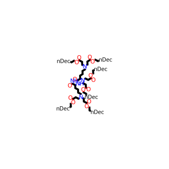 CCCCCCCCCCCCOC(=O)CCN(CCCCC(NC(=O)C(CCCCN(CCC(=O)OCCCCCCCCCCCC)CCC(=O)OCCCCCCCCCCCC)N(CCC(=O)OCCCCCCCCCCCC)CCC(=O)OCCCCCCCCCCCC)C(N)=O)CCC(=O)OCCCCCCCCCCCC